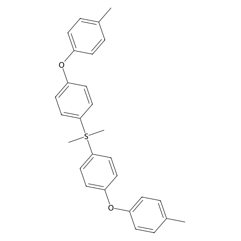 Cc1ccc(Oc2ccc(S(C)(C)c3ccc(Oc4ccc(C)cc4)cc3)cc2)cc1